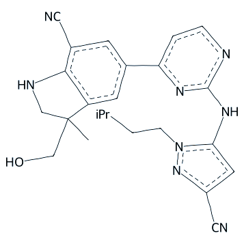 CC(C)CCn1nc(C#N)cc1Nc1nccc(-c2cc(C#N)c3c(c2)C(C)(CO)CN3)n1